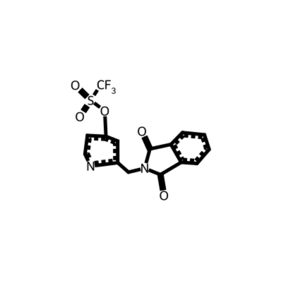 O=C1c2ccccc2C(=O)N1Cc1cc(OS(=O)(=O)C(F)(F)F)ccn1